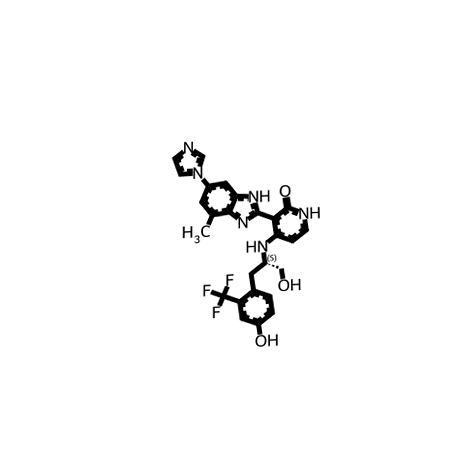 Cc1cc(-n2ccnc2)cc2[nH]c(-c3c(N[C@H](CO)Cc4ccc(O)cc4C(F)(F)F)cc[nH]c3=O)nc12